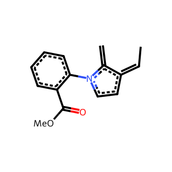 C=c1/c(=C\C)ccn1-c1ccccc1C(=O)OC